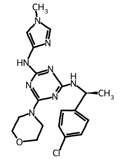 C[C@H](Nc1nc(Nc2cn(C)cn2)nc(N2CCOCC2)n1)c1ccc(Cl)cc1